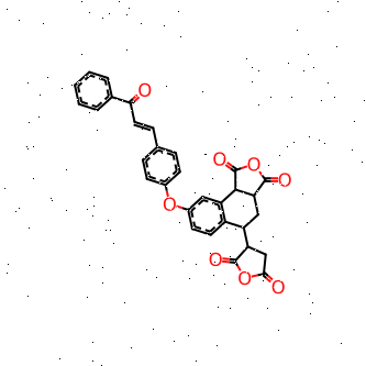 O=C1CC(C2CC3C(=O)OC(=O)C3c3cc(Oc4ccc(/C=C/C(=O)c5ccccc5)cc4)ccc32)C(=O)O1